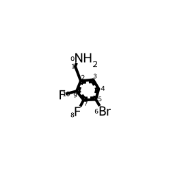 NCc1ccc(Br)c(F)c1F